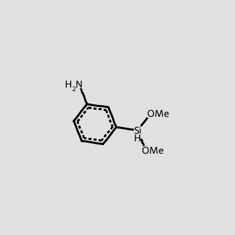 CO[SiH](OC)c1cccc(N)c1